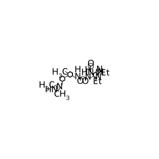 CCc1nc2c(cnn2CC)c(NC2CCOCC2)c1CNC(=O)CC(=O)NCc1ccc(C)c(-c2cccc(CN3C[C@@H](C)N[C@@H](C)C3)c2)c1